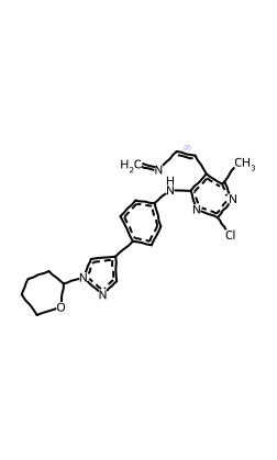 C=N/C=C\c1c(C)nc(Cl)nc1Nc1ccc(-c2cnn(C3CCCCO3)c2)cc1